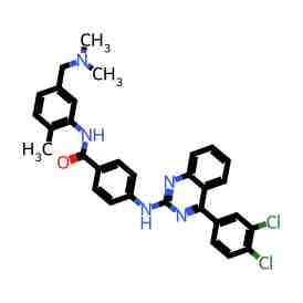 Cc1ccc(CN(C)C)cc1NC(=O)c1ccc(Nc2nc(-c3ccc(Cl)c(Cl)c3)c3ccccc3n2)cc1